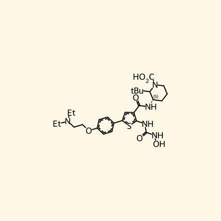 CCN(CC)CCOc1ccc(-c2cc(C(=O)N[C@H]3CCCN(C(=O)O)C3C(C)(C)C)c(NC(=O)NO)s2)cc1